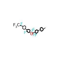 Cc1ccc(-c2cc(F)c(C(F)(F)Oc3ccc(C4CCC(/C(F)=C/C(F)(F)F)CC4)c(F)c3)c(F)c2)cc1